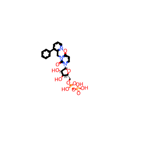 O=c1ccn([C@@H]2O[C@H](COP(=O)(O)OP(=O)(O)O)C(O)[C@@H]2O)c(=O)n1Cc1ncccc1-c1ccccc1